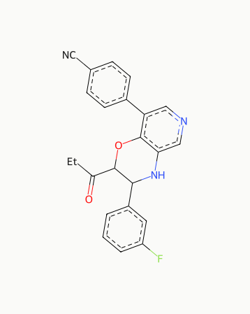 CCC(=O)C1Oc2c(cncc2-c2ccc(C#N)cc2)NC1c1cccc(F)c1